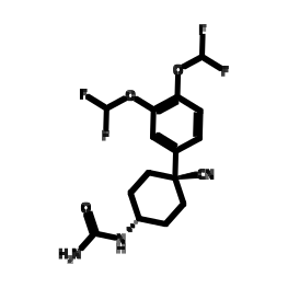 N#C[C@]1(c2ccc(OC(F)F)c(OC(F)F)c2)CC[C@@H](NC(N)=O)CC1